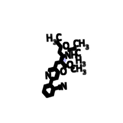 CCCC/C(NC(=O)C(C)C)=C(\Cc1ccc(-c2ccccc2C#N)nc1)C(=O)OC